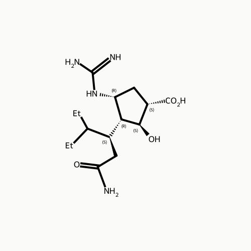 CCC(CC)[C@H](CC(N)=O)[C@H]1[C@H](O)[C@@H](C(=O)O)C[C@H]1NC(=N)N